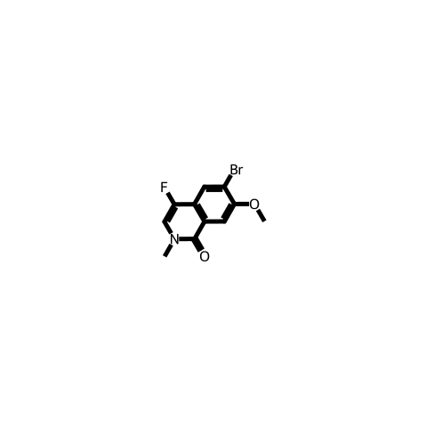 COc1cc2c(=O)n(C)cc(F)c2cc1Br